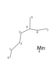 CCCCC(C)CC.[Mn]